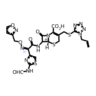 C=CCn1nnnc1SCC1=C(C(=O)O)N2C(=O)C(NC(=O)/C(=N\OCc3ccon3)c3csc(NC=O)n3)[C@H]2SC1